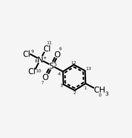 Cc1ccc(S(=O)(=O)[N+](Cl)(Cl)Cl)cc1